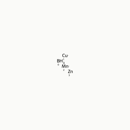 B.[Cu].[Mn].[Zn]